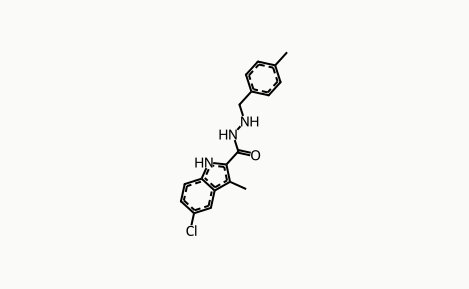 Cc1ccc(CNNC(=O)c2[nH]c3ccc(Cl)cc3c2C)cc1